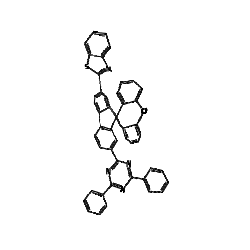 c1ccc(-c2nc(-c3ccccc3)nc(-c3ccc4c(c3)C3(c5ccccc5Oc5ccccc53)c3cc(-c5nc6ccccc6s5)ccc3-4)n2)cc1